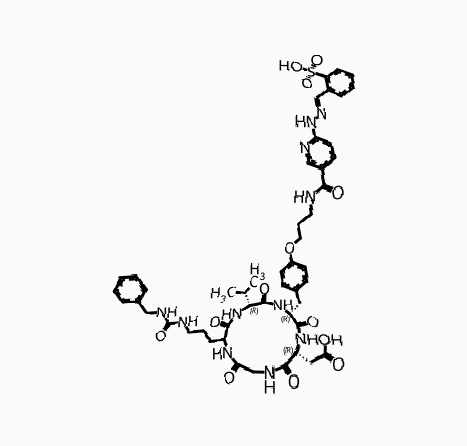 CC(C)[C@H]1NC(=O)C(CCCNC(=O)NCc2ccccc2)NC(=O)CNC(=O)[C@@H](CC(=O)O)NC(=O)[C@@H](Cc2ccc(OCCCNC(=O)c3ccc(NN=Cc4ccccc4S(=O)(=O)O)nc3)cc2)NC1=O